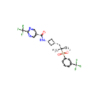 CC(C)(C[C@H]1C[C@@H](NC(=O)c2cnc(C(F)(F)F)nc2)C1)S(=O)(=O)c1cccc(C(F)(F)F)c1